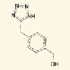 OCc1ccc(Cc2nnn[nH]2)cc1